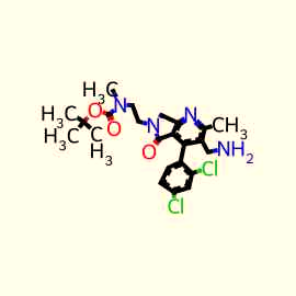 Cc1nc2c(c(-c3ccc(Cl)cc3Cl)c1CN)C(=O)N(CCN(C)C(=O)OC(C)(C)C)C2